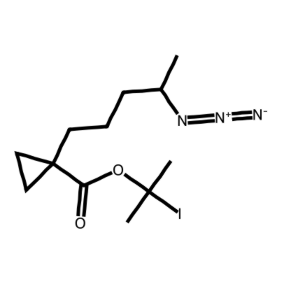 CC(CCCC1(C(=O)OC(C)(C)I)CC1)N=[N+]=[N-]